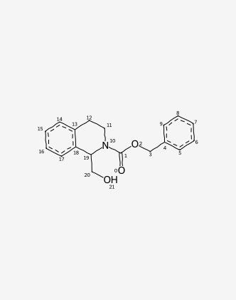 O=C(OCc1ccccc1)N1CCc2ccccc2C1CO